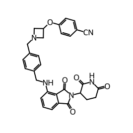 N#Cc1ccc(OC2CN(Cc3ccc(CNc4cccc5c4C(=O)N(C4CCC(=O)NC4=O)C5=O)cc3)C2)cc1